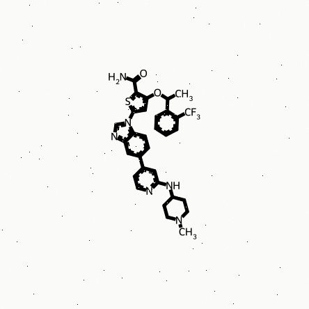 CC(Oc1cc(-n2cnc3cc(-c4ccnc(NC5CCN(C)CC5)c4)ccc32)sc1C(N)=O)c1ccccc1C(F)(F)F